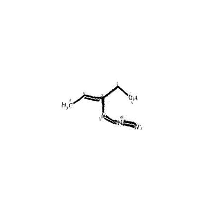 CC=C(CO)N=[N+]=[N-]